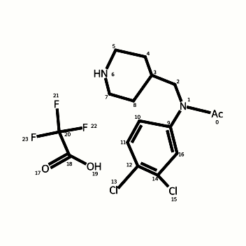 CC(=O)N(CC1CCNCC1)c1ccc(Cl)c(Cl)c1.O=C(O)C(F)(F)F